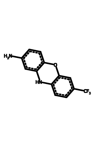 Nc1ccc2c(c1)Nc1ccc(C(F)(F)F)cc1O2